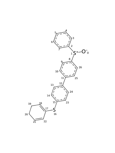 [O-][S+](c1ccccc1)c1ccc(-c2ccc(SC3=CCCC=C3)cc2)cc1